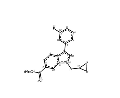 COC(=O)c1ccc2c(-c3cccc(F)c3)nn(CC3CC3)c2c1